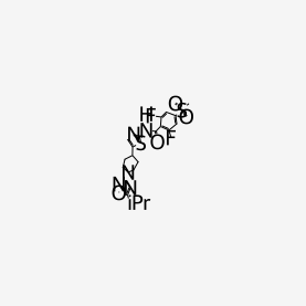 CC(C)c1nc(N2CCC(c3cnc(NC(=O)c4c(F)cc(S(C)(=O)=O)cc4F)s3)CC2)no1